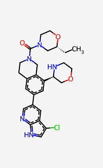 CC[C@@H]1CN(C(=O)N2CCc3cc(-c4cnc5[nH]cc(Cl)c5c4)cc([C@@H]4COCCN4)c3C2)CCO1